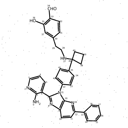 Nc1ncccc1-c1nc2ccc(-c3ccccc3)nc2n1-c1ccc(C2(NCCc3ccc(C=O)c(O)c3)CCC2)cc1